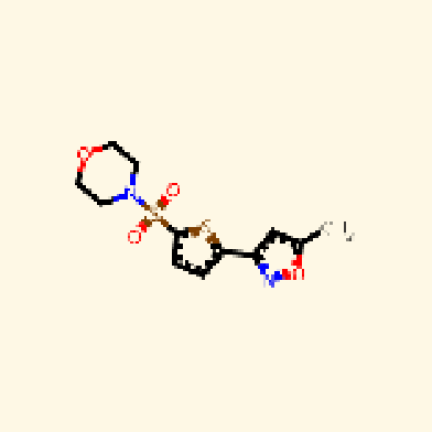 Cc1cc(-c2ccc(S(=O)(=O)N3CCOCC3)s2)no1